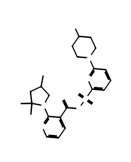 CC1CN(c2ncccc2C(=O)NS(=O)(=O)c2cccc(N3CCC(F)CC3)n2)C(C)(C)C1